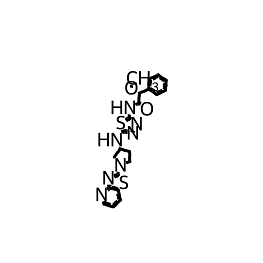 CO[C@@H](C(=O)Nc1nnc(N[C@@H]2CCN(c3nc4ncccc4s3)C2)s1)c1ccccc1